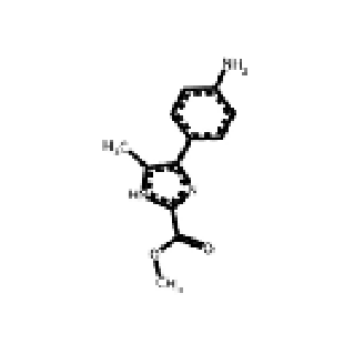 COC(=O)c1nc(-c2ccc(N)cc2)c(C)[nH]1